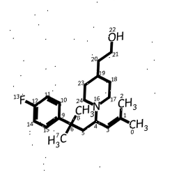 CC(C)=CC(CC(C)(C)c1ccc(F)cc1)N1CCC(CCO)CC1